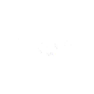 O=C(CCCCCl)Nc1nnc(NCc2ccc(F)cc2)s1